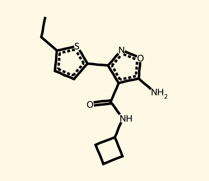 CCc1ccc(-c2noc(N)c2C(=O)NC2CCC2)s1